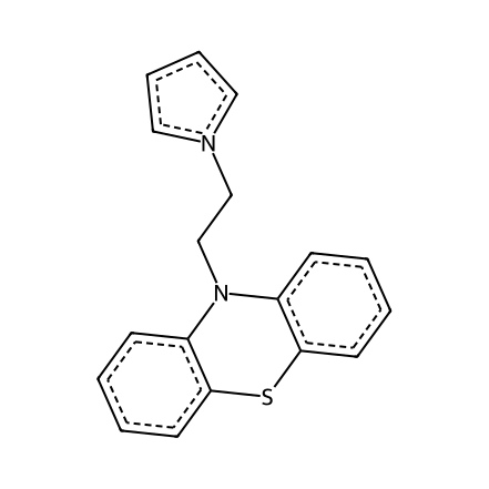 c1ccc2c(c1)Sc1ccccc1N2CCn1cccc1